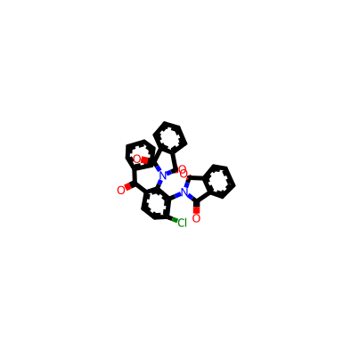 O=C(c1ccccc1)c1ccc(Cl)c(N2C(=O)c3ccccc3C2=O)c1N1C(=O)c2ccccc2C1=O